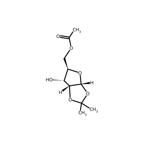 CC(=O)OC[C@H]1O[C@@H]2OC(C)(C)O[C@@H]2[C@@H]1O